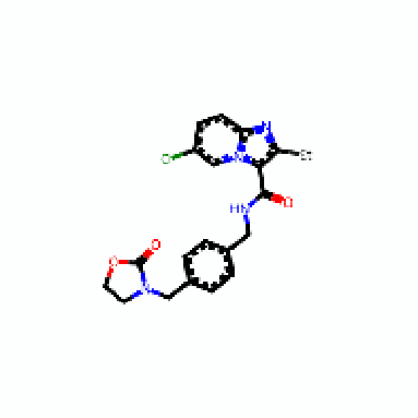 CCc1nc2ccc(Cl)cn2c1C(=O)NCc1ccc(CN2CCOC2=O)cc1